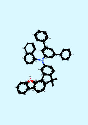 CC1(C)c2ccc(N(c3cc(-c4ccccc4)cc(-c4ccccc4)c3)c3cccc4c3C=CCC4)cc2-c2c1ccc1c2oc2ccccc21